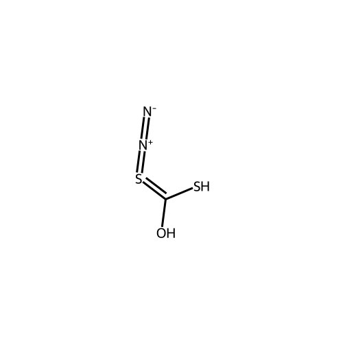 [N-]=[N+]=S=C(O)S